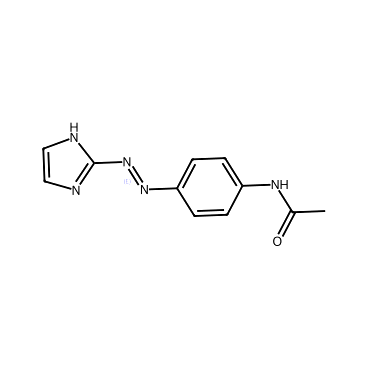 CC(=O)Nc1ccc(/N=N/c2ncc[nH]2)cc1